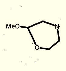 COC1C[N]CCO1